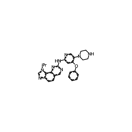 CC(C)n1cnc2ccc3cnc(Nc4cc(Oc5ccccc5)c(N5CCNCC5)cn4)nc3c21